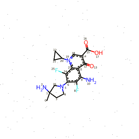 CC1(N)CCN(c2c(F)c(N)c3c(=O)c(C(=O)O)cn(C4CC4)c3c2F)C1